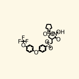 O=C(NO)C(CS(=O)(=O)c1ccc(Oc2ccc(OC(F)(F)F)cc2)cc1)CS(=O)(=O)N1CCCC1